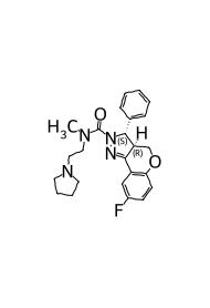 CN(CCN1CCCC1)C(=O)N1N=C2c3cc(F)ccc3OC[C@@H]2[C@H]1c1ccccc1